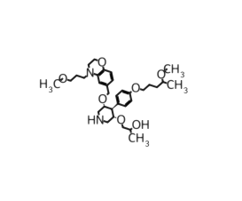 COCCCN1CCOc2ccc(CO[C@H]3CNC[C@@H](OCC(C)O)[C@@H]3c3ccc(OCCCC(C)OC)cc3)cc21